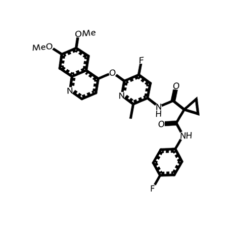 COc1cc2nccc(Oc3nc(C)c(NC(=O)C4(C(=O)Nc5ccc(F)cc5)CC4)cc3F)c2cc1OC